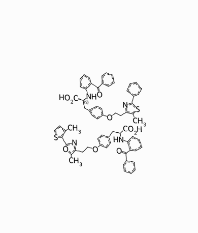 Cc1ccsc1-c1nc(CCOc2ccc(CC(Nc3ccccc3C(=O)c3ccccc3)C(=O)O)cc2)c(C)o1.Cc1sc(-c2ccccc2)nc1CCOc1ccc(C[C@H](Nc2ccccc2C(=O)c2ccccc2)C(=O)O)cc1